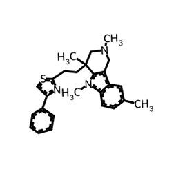 Cc1ccc2c(c1)c1c(n2C)C(C)(CCc2nc(-c3ccccc3)cs2)CN(C)C1